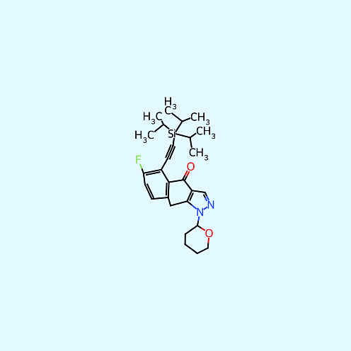 CC(C)[Si](C#Cc1c(F)ccc2c1C(=O)c1cnn(C3CCCCO3)c1C2)(C(C)C)C(C)C